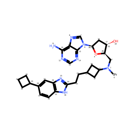 CC(C)N(C[C@H]1O[C@@H](n2cnc3c(N)ncnc32)C[C@@H]1O)C1CC(CCc2nc3cc(C4CCC4)ccc3[nH]2)C1